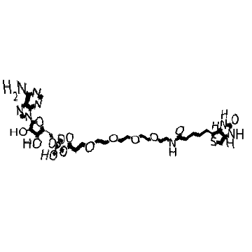 Nc1ncnc2c1ncn2[C@@H]1O[C@H](COP(=O)(O)OC(=O)CCOCCOCCOCCOCCNC(=O)CCCC[C@@H]2SC[C@@H]3NC(=O)N[C@@H]32)C(O)[C@@H]1O